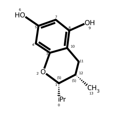 CC(C)[C@@H]1Oc2cc(O)cc(O)c2C[C@@H]1C